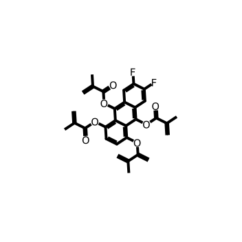 C=C(C)C(=C)Oc1ccc(OC(=O)C(=C)C)c2c(OC(=O)C(=C)C)c3cc(F)c(F)cc3c(OC(=O)C(=C)C)c12